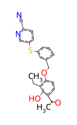 CCc1c(OCc2cccc(Sc3ccc(C#N)nc3)c2)ccc(C(C)=O)c1O